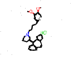 COc1ccc(CCCCN2CCCC(=C3c4ccccc4C=Cc4ccccc43)C2)cc1OC.Cl